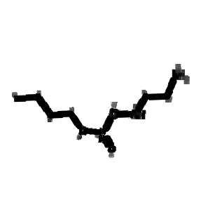 CCCCO[PH](=O)ONCCN